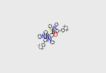 CC1(C)CCC(C)(C)c2cc(-c3cc4c5c(c3)N(c3ccccc3)c3c(sc6ccccc36)B5c3cc5c(cc3O4)N(c3ccccc3)c3cc(-c4ccc6c(c4)C(C)(C)CCC6(C)C)cc4c3B5c3ccccc3N4c3ccccc3)ccc21